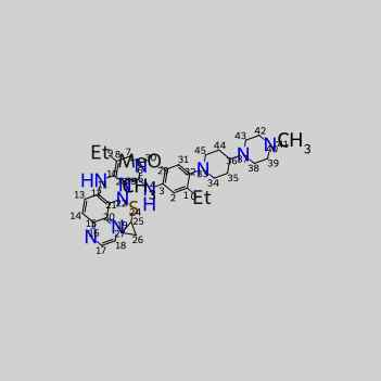 CCc1cc(Nc2ncc(CC)c(Nc3ccc4nccnc4c3N(C)SC3CC3)n2)c(OC)cc1N1CCC(N2CCN(C)CC2)CC1